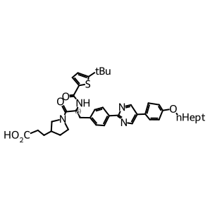 CCCCCCCOc1ccc(-c2cnc(-c3ccc(C[C@H](NC(=O)c4ccc(C(C)(C)C)s4)C(=O)N4CCC(CCC(=O)O)C4)cc3)nc2)cc1